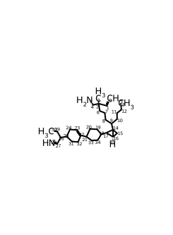 C=C[C@@](C)(CN)CCCC(CCCC)C12C[C@H]1C2C1CCC(C2=CCC(C(C=N)CC)CC2)CC1